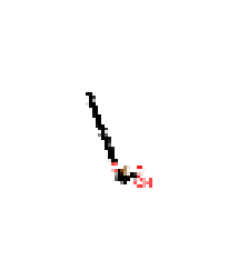 CCCCCCCCCCCCCCOc1ccc(C(=O)O)s1